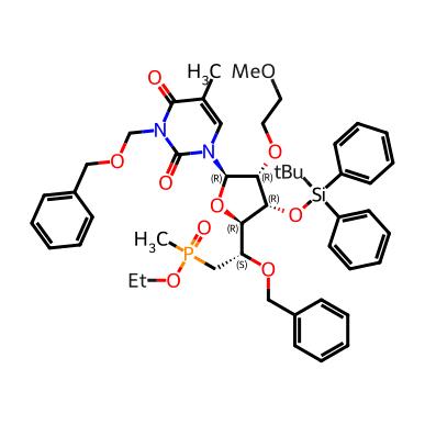 CCOP(C)(=O)C[C@@H](OCc1ccccc1)[C@H]1O[C@@H](n2cc(C)c(=O)n(COCc3ccccc3)c2=O)[C@H](OCCOC)[C@@H]1O[Si](c1ccccc1)(c1ccccc1)C(C)(C)C